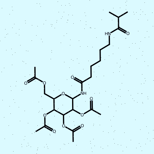 CC(=O)OCC1OC(NC(=O)CCCCCNC(=O)C(C)C)C(OC(C)=O)C(OC(C)=O)C1OC(C)=O